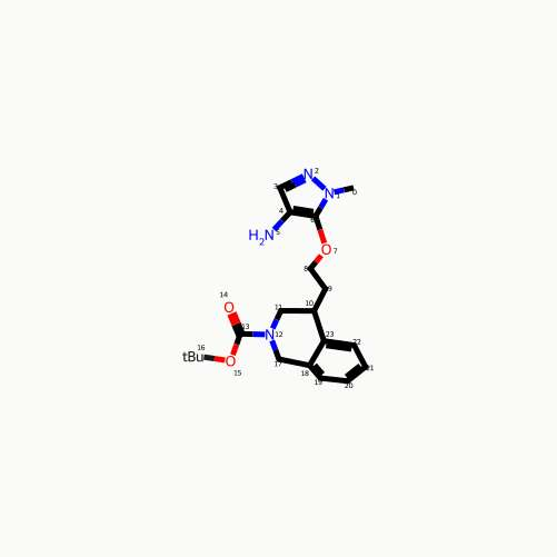 Cn1ncc(N)c1OCCC1CN(C(=O)OC(C)(C)C)Cc2ccccc21